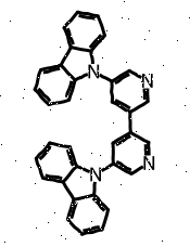 c1ccc2c(c1)c1ccccc1n2-c1cncc(-c2cncc(-n3c4ccccc4c4ccccc43)c2)c1